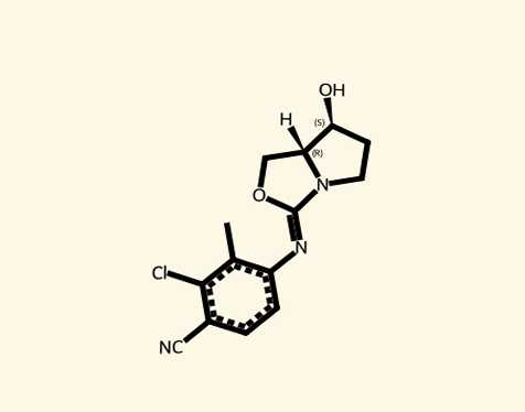 Cc1c(N=C2OC[C@@H]3[C@@H](O)CCN23)ccc(C#N)c1Cl